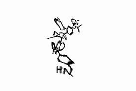 CNCc1ccc(-c2nnc(-c3nc(-c4ccc([S+]([O-])C(C)C)cc4Cl)cnc3C)o2)cc1